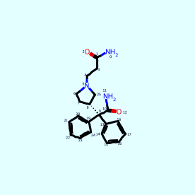 NC(=O)CCN1CC[C@@H](C(C(N)=O)(c2ccccc2)c2ccccc2)C1